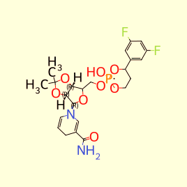 CC1(C)O[C@@H]2[C@H](O1)C(CO[P]1(O)OCCC(c3cc(F)cc(F)c3)O1)O[C@H]2N1C=CCC(C(N)=O)=C1